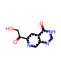 O=C(CO)c1cc2c(=O)[nH]cnc2cn1